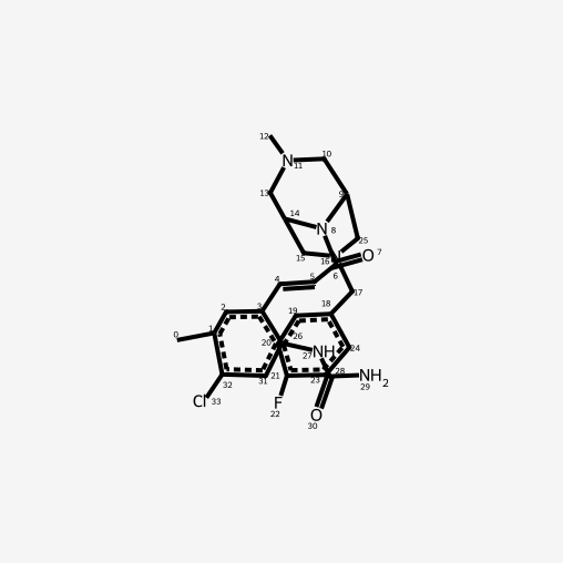 Cc1cc(/C=C/C(=O)N2C3CN(C)CC2CN(Cc2ccc(F)cc2)C3)c(NC(N)=O)cc1Cl